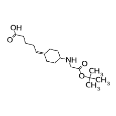 CC(C)(C)OC(=O)CNC1CCC(=CCCCC(=O)O)CC1